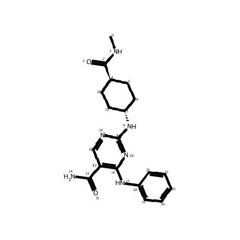 CNC(=O)[C@H]1CC[C@H](Nc2ncc(C(N)=O)c(Nc3ccccc3)n2)CC1